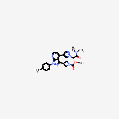 Cc1ccc(-n2nc(C3CN(C(=O)OC(C)(C)C)C3)c3c(-c4cnn(CC(=O)N(C)C)c4)ccnc32)cc1